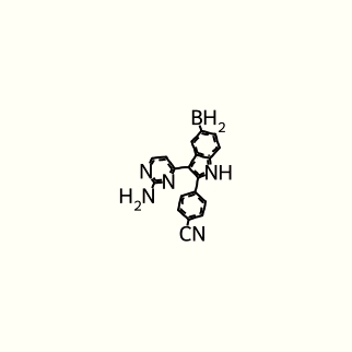 Bc1ccc2[nH]c(-c3ccc(C#N)cc3)c(-c3ccnc(N)n3)c2c1